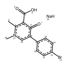 Cc1c(C(=O)O)c(=O)c(-c2ccc(Br)cc2)cn1C.[NaH]